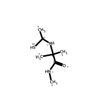 CNC(=O)C(C)(C)NC(C)S